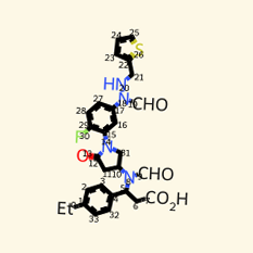 CCc1ccc(C(CC(=O)O)N(C=O)C2CC(=O)N(c3cc(N(C=O)NCc4cccs4)ccc3F)C2)cc1